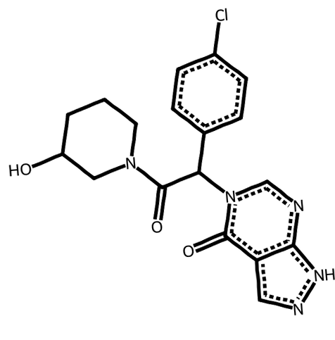 O=C(C(c1ccc(Cl)cc1)n1cnc2[nH]ncc2c1=O)N1CCCC(O)C1